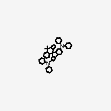 CC1(C)c2ccccc2C2(c3cc(N(c4ccccc4)c4ccccc4)ccc3-c3ccc(N(c4ccccc4)c4ccccc4)cc32)c2ccccc21